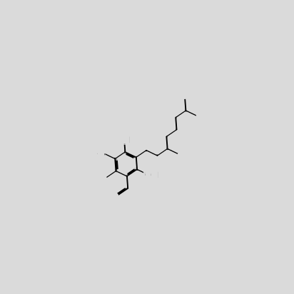 C=Cc1c(C)c(Cl)c(O)c(CCC(C)CCCC(C)C)c1O